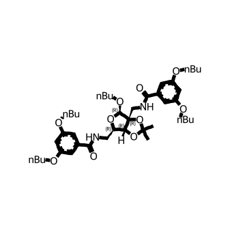 CCCCOc1cc(OCCCC)cc(C(=O)NC[C@H]2O[C@@H](OCCCC)[C@]3(CNC(=O)c4cc(OCCCC)cc(OCCCC)c4)OC(C)(C)O[C@H]23)c1